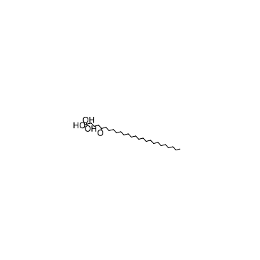 CCCCCCCCCCCCCCCCCCCCCC(=O)CCCC(O)(O)O